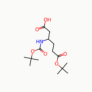 CC(C)(C)OC(=O)CCC(CC(=O)O)NC(=O)OC(C)(C)C